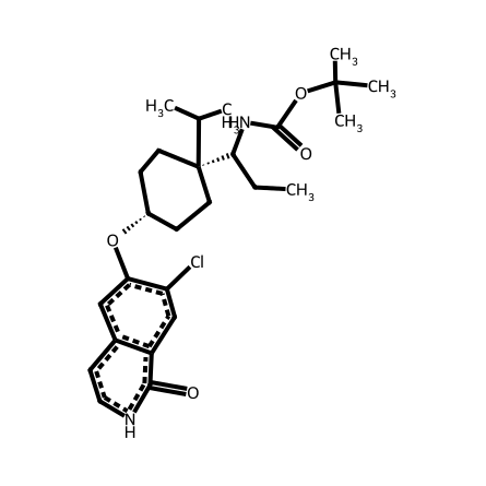 CCC(NC(=O)OC(C)(C)C)[C@]1(C(C)C)CC[C@H](Oc2cc3cc[nH]c(=O)c3cc2Cl)CC1